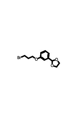 BrCCCOc1cccc(C2OCCO2)c1